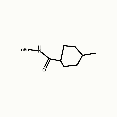 CCCCNC(=O)C1CCC(C)CC1